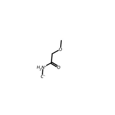 [CH2-][NH2+]C(=O)COC